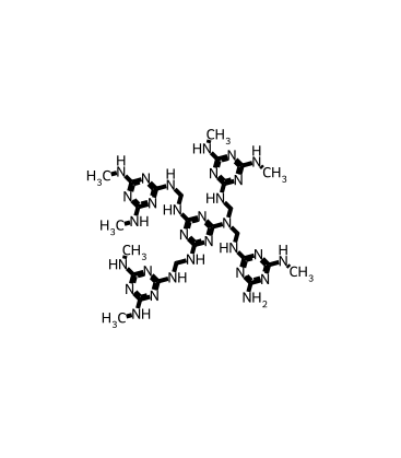 CNc1nc(N)nc(NCN(CNc2nc(NC)nc(NC)n2)c2nc(NCNc3nc(NC)nc(NC)n3)nc(NCNc3nc(NC)nc(NC)n3)n2)n1